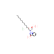 CCCCCCCCCCC(Br)CCC(CC(=O)O)n1cc(O)c2ccccc21